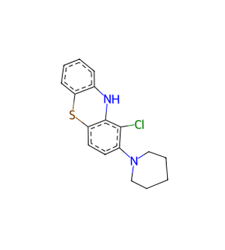 Clc1c(N2CCCCC2)ccc2c1Nc1ccccc1S2